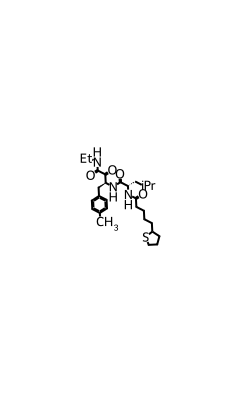 CCNC(=O)C(=O)[C@H](Cc1ccc(C)cc1)NC(=O)[C@H](CC(C)C)NC(=O)CCCCC1CCCS1